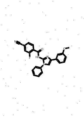 COc1cccc(-c2cn(-c3ccccc3)c(NC(=O)c3ccc(C#N)cc3F)n2)c1